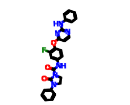 O=C(Nc1ccc(Oc2ccnc(Nc3ccccc3)n2)c(F)c1)N1CCN(c2ccccc2)C1=O